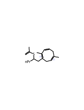 C=C(C)SC(CCC)C/C1=C(\C)C=CC/C(C)=C\C1